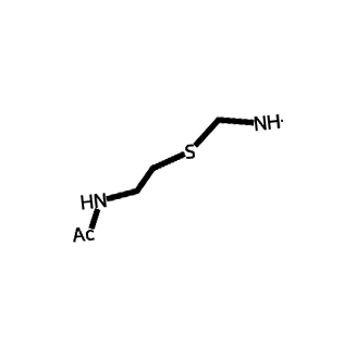 CC(=O)NCCSC[NH]